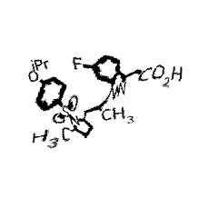 CC(C)Oc1ccc(S(=O)(=O)N2[C@@H](C[C@H](C)n3nc(CC(=O)O)c4ccc(F)cc43)CC[C@H]2C)cc1